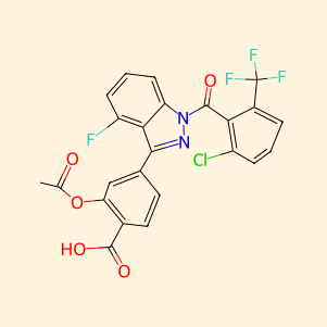 CC(=O)Oc1cc(-c2nn(C(=O)c3c(Cl)cccc3C(F)(F)F)c3cccc(F)c23)ccc1C(=O)O